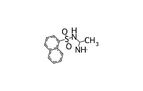 CC([NH])NS(=O)(=O)c1cccc2ccccc12